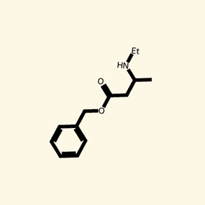 CCNC(C)CC(=O)OCc1ccccc1